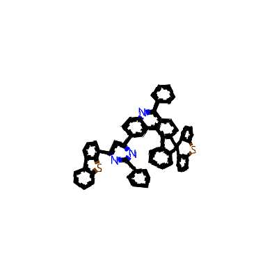 c1ccc(-c2nc(-c3ccc4nc(-c5ccccc5)c5ccc6c(c5c4c3)-c3ccccc3C63c4ccccc4Sc4ccccc43)cc(-c3cccc4c3sc3ccccc34)n2)cc1